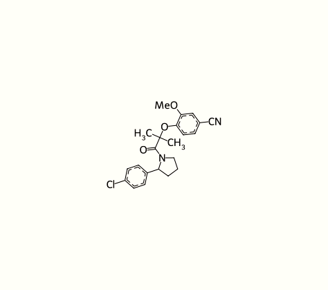 COc1cc(C#N)ccc1OC(C)(C)C(=O)N1CCCC1c1ccc(Cl)cc1